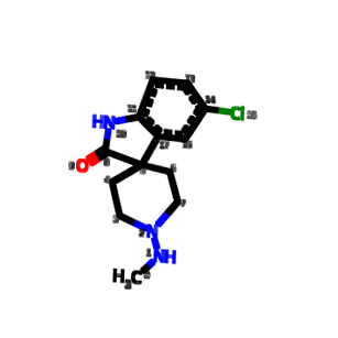 CNN1CCC2(CC1)C(=O)Nc1ccc(Cl)cc12